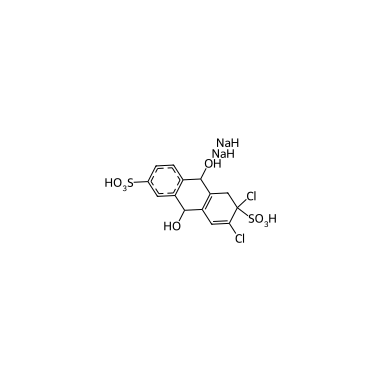 O=S(=O)(O)c1ccc2c(c1)C(O)C1=C(CC(Cl)(S(=O)(=O)O)C(Cl)=C1)C2O.[NaH].[NaH]